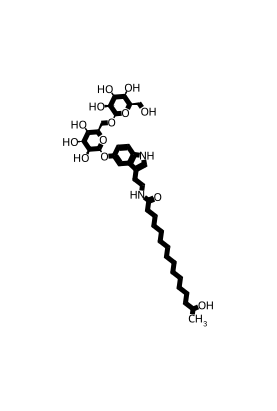 CC(O)CCCCCCCCCCCCCC(=O)NCCc1c[nH]c2ccc(O[C@H]3O[C@H](CO[C@H]4O[C@H](CO)[C@@H](O)[C@@H](O)[C@@H]4O)[C@@H](O)[C@@H](O)[C@@H]3O)cc12